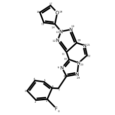 Fc1ccccc1Cc1nc2c3nn(-c4ccco4)nc3ncn2n1